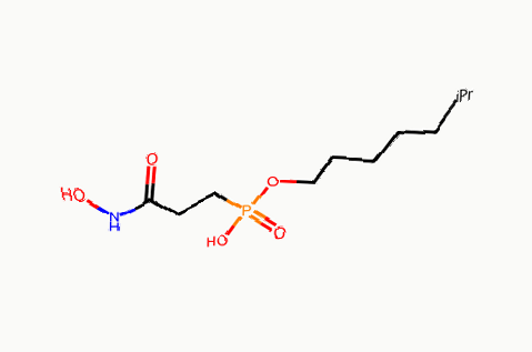 CC(C)CCCCCOP(=O)(O)CCC(=O)NO